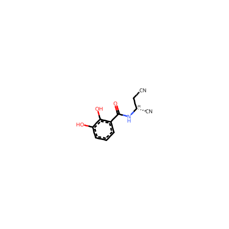 N#CC[C@H](C#N)NC(=O)c1cccc(O)c1O